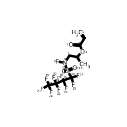 C=CC(=O)OC(C)CN(F)S(=O)(=O)C(F)(F)C(F)(F)C(F)(F)C(F)(F)F